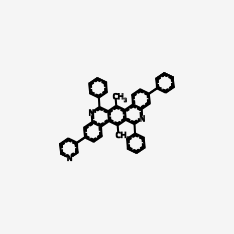 Cc1c2c(-c3ccccc3)nc3cc(-c4cccnc4)ccc3c2c(C)c2c(-c3ccccc3)nc3cc(-c4ccccc4)ccc3c12